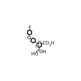 O=C(O)c1cc([C@H](O)CO)nc(-c2ccc(Oc3ccc(F)cc3)cc2)n1